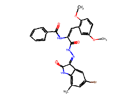 COc1ccc(OC)c(C=C(NC(=O)c2ccccc2)C(=O)NN=C2C(=O)Nc3c(C)cc(Br)cc32)c1